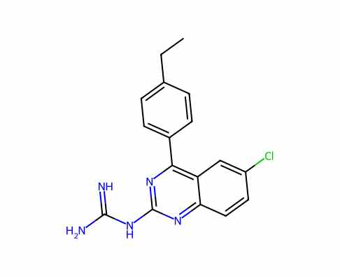 CCc1ccc(-c2nc(NC(=N)N)nc3ccc(Cl)cc23)cc1